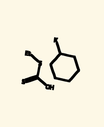 CCSC(O)=S.[K][CH]1CCCCC1